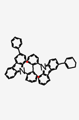 C1=CC(c2ccc3c(c2)c2ccccc2n3-c2ccccc2-c2ccccc2-n2c3ccccc3c3cc(-c4ccccc4)ccc32)=CCC1